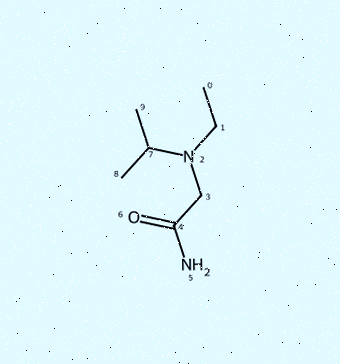 CCN(CC(N)=O)C(C)C